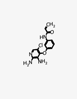 C=CC(=O)Nc1cccc(Oc2c(Cl)cnc(N)c2N)c1